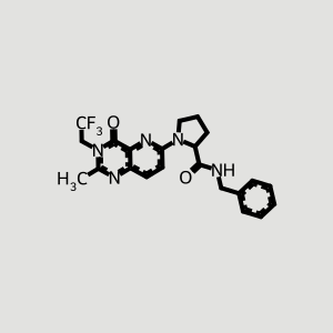 Cc1nc2ccc(N3CCCC3C(=O)NCc3ccccc3)nc2c(=O)n1CC(F)(F)F